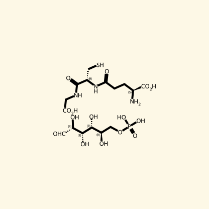 N[C@@H](CCC(=O)N[C@@H](CS)C(=O)NCC(=O)O)C(=O)O.O=C[C@H](O)[C@@H](O)[C@H](O)[C@H](O)COP(=O)(O)O